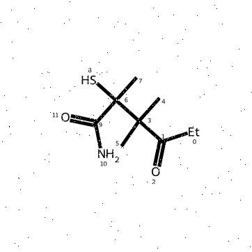 CCC(=O)C(C)(C)C(C)(S)C(N)=O